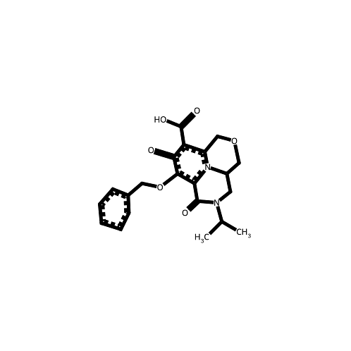 CC(C)N1CC2COCc3c(C(=O)O)c(=O)c(OCc4ccccc4)c(n32)C1=O